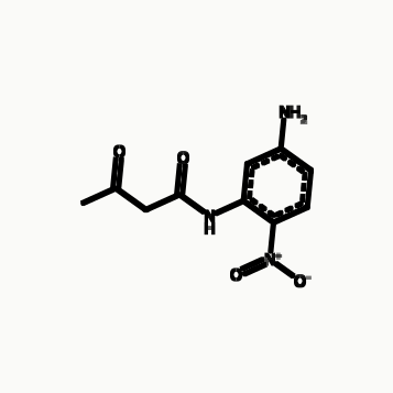 CC(=O)CC(=O)Nc1cc(N)ccc1[N+](=O)[O-]